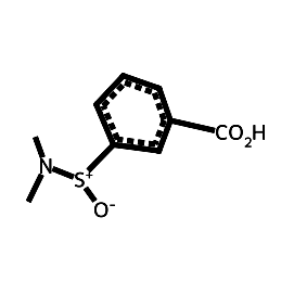 CN(C)[S+]([O-])c1cccc(C(=O)O)c1